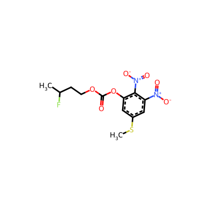 CSc1cc(OC(=O)OCCC(C)F)c([N+](=O)[O-])c([N+](=O)[O-])c1